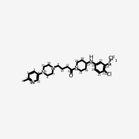 Cc1ccc(N2CCN(CCCC(=O)N3CCC(Nc4ccc(Cl)c(SC(F)(F)F)c4)CC3)CC2)cn1